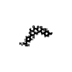 CCN1C(=O)C(=O)N(C(Cc2ccc(F)cc2)C(=O)O)CC1NC(=O)c1ccc(C(=N)N)cc1